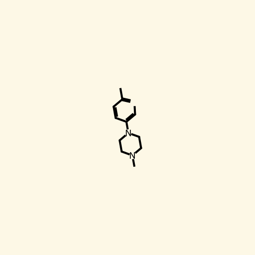 C=C(C)/C=C\C(=C/C)N1CCN(C)CC1